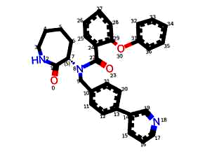 O=C1NCCCC[C@@H]1N(Cc1ccc(-c2cccnc2)cc1)C(=O)c1ccccc1Oc1ccccc1